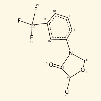 O=C1C(Cl)OCN1c1cccc(C(F)(F)F)c1